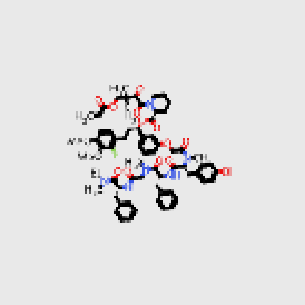 C=CC(=O)OCC(C)(C)C(=O)C(=O)N1CCCC[C@H]1C(=O)O[C@H](CCc1ccc(OC)c(OC)c1F)c1cccc(OCC(=O)N(C)[C@@H](Cc2ccc(O)cc2)C(=O)N[C@H](Cc2ccccc2)C(=O)N(C)CC(=O)N[C@H](Cc2ccccc2)C(=O)N(C)CC)c1